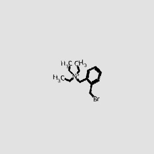 CC[N+](CC)(CC)Cc1ccccc1CBr